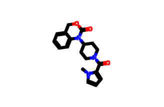 Cn1cccc1C(=O)N1CCC(N2C(=O)OCc3ccccc32)CC1